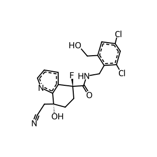 N#CC[C@]1(O)CC[C@@](F)(C(=O)NCc2c(Cl)cc(Cl)cc2CO)c2cccnc21